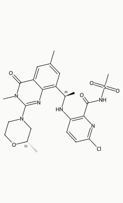 Cc1cc([C@@H](C)Nc2ccc(Cl)nc2C(=O)NS(C)(=O)=O)c2nc(N3CCO[C@@H](C)C3)n(C)c(=O)c2c1